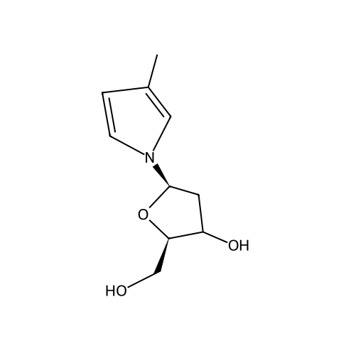 Cc1ccn([C@H]2CC(O)[C@@H](CO)O2)c1